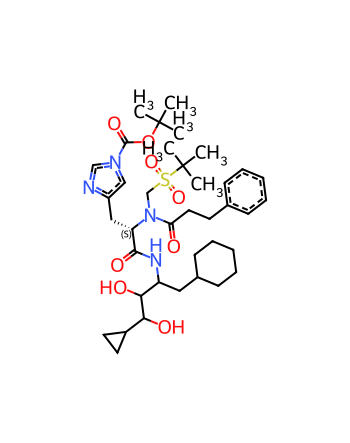 CC(C)(C)OC(=O)n1cnc(C[C@@H](C(=O)NC(CC2CCCCC2)C(O)C(O)C2CC2)N(CS(=O)(=O)C(C)(C)C)C(=O)CCc2ccccc2)c1